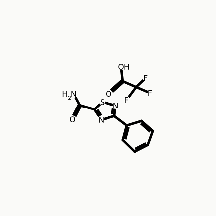 NC(=O)c1nc(-c2ccccc2)ns1.O=C(O)C(F)(F)F